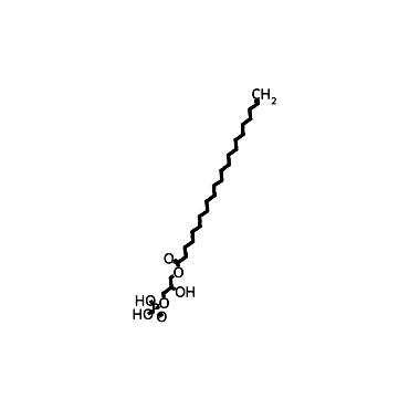 C=CCCCCCCCCCCCCCCCCCCCCC(=O)OCC(O)COP(=O)(O)O